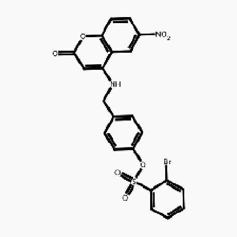 O=c1cc(NCc2ccc(OS(=O)(=O)c3ccccc3Br)cc2)c2cc([N+](=O)[O-])ccc2o1